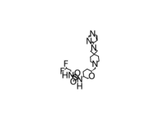 O=S(=O)(NCC(F)F)N[C@@H]1CC[C@@H](CN2CCC3(CC2)CN(c2ccncn2)C3)OC1